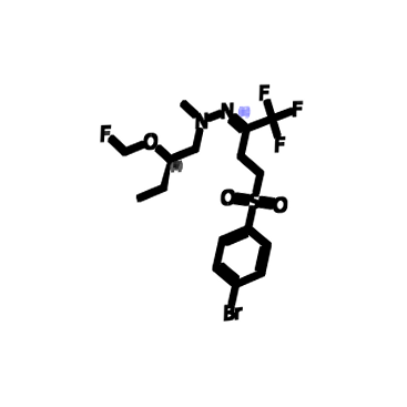 CC[C@H](CN(C)/N=C(\CCS(=O)(=O)c1ccc(Br)cc1)C(F)(F)F)OCF